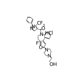 Cl.O=C(C=C1c2ccccc2N(C(=O)c2cnn(-c3ccccc3)c2C(F)(F)F)CCC1(F)F)N1CCN(CCO)CC1